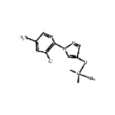 CC(C)(C)[Si](C)(C)Oc1cnn(-c2ncc(N)cc2Cl)c1